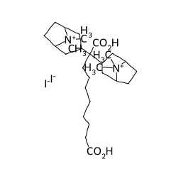 C[N+]1(C)C2CCC1CC(C(CCCCCCCC(=O)O)(C(=O)O)C1CC3CCC(C1)[N+]3(C)C)C2.[I-].[I-]